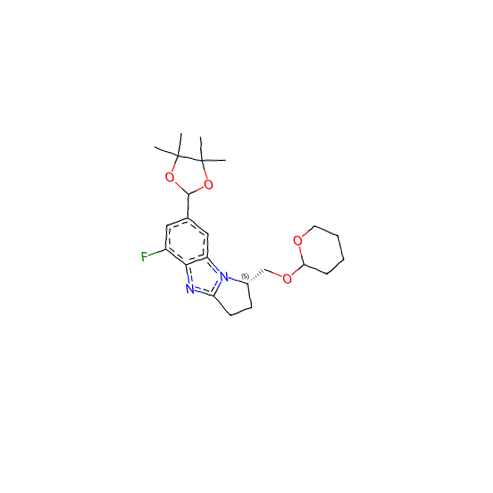 CC1(C)OC(c2cc(F)c3nc4n(c3c2)[C@H](COC2CCCCO2)CC4)OC1(C)C